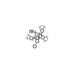 Cc1cc2c(cc1N1c3cc(-c4ccccc4)ccc3B3c4cc5c(cc4N(c4ccc6c(c4)C(C)(C)CCC6(C)C)c4cc(C(C)(C)C)cc1c43)C(C)(C)CCC5(C)C)C(C)(C)CC2(C)C